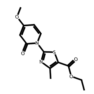 CCOC(=O)c1sc(-n2ccc(OC)cc2=O)nc1C